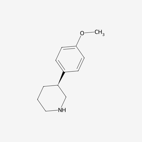 COc1ccc([C@@H]2CCCNC2)cc1